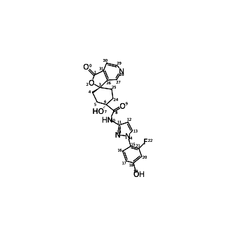 O=C1O[C@]2(CC[C@](O)(C(=O)Nc3ccn(-c4ccc(O)cc4F)n3)CC2)c2cnccc21